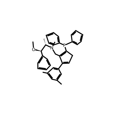 CO[C@H](c1ccccc1)[C@H](C)N(C)CC1=C(P(c2ccccc2)c2ccccc2)CC=C1c1cc(C)cc(C)c1